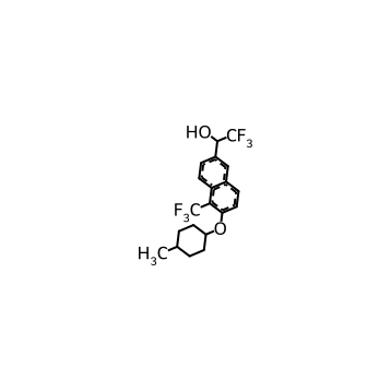 CC1CCC(Oc2ccc3cc(C(O)C(F)(F)F)ccc3c2C(F)(F)F)CC1